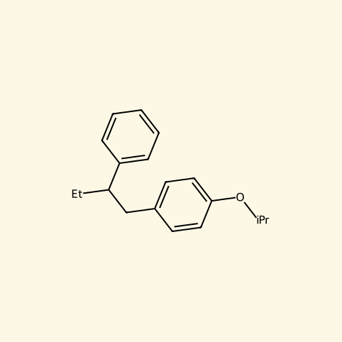 CCC(Cc1ccc(OC(C)C)cc1)c1ccccc1